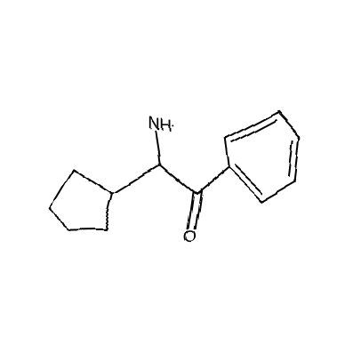 [NH]C(C(=O)c1ccccc1)C1CCCC1